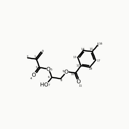 C=C(C)C(=O)OC(O)COC(=O)c1ccc(I)cc1